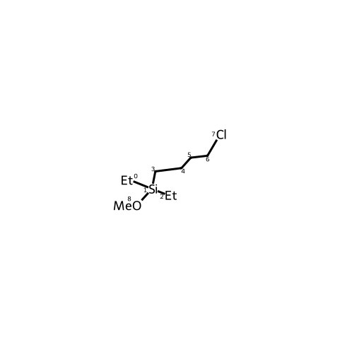 CC[Si](CC)(CCCCCl)OC